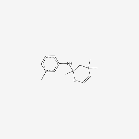 Cc1cccc(NC2(C)CC(C)(C)C=CO2)c1